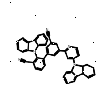 N#Cc1cc(-c2cc(N3c4ccccc4C4C=CCCC43)ccn2)cc(-c2cccc(C#N)c2-n2c3ccccc3c3ccccc32)c1